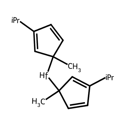 CC(C)C1=C[C](C)([Hf][C]2(C)C=CC(C(C)C)=C2)C=C1